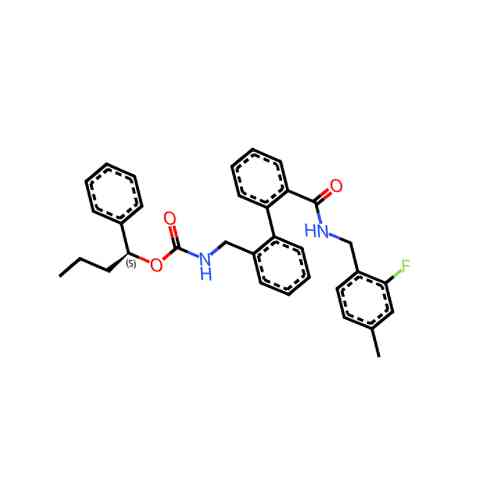 CCC[C@H](OC(=O)NCc1ccccc1-c1ccccc1C(=O)NCc1ccc(C)cc1F)c1ccccc1